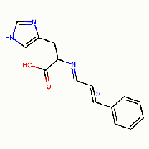 O=C(O)C(Cc1c[nH]cn1)N=C/C=C/c1ccccc1